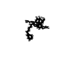 CC(=O)Oc1cccc(C23CCN(C)CC2CCC(N(CC(C)C)C(=O)CCCCCc2ccccc2)C3)c1